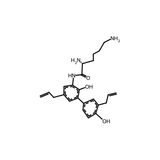 C=CCc1cc(NC(=O)[C@H](N)CCCCN)c(O)c(-c2ccc(O)c(CC=C)c2)c1